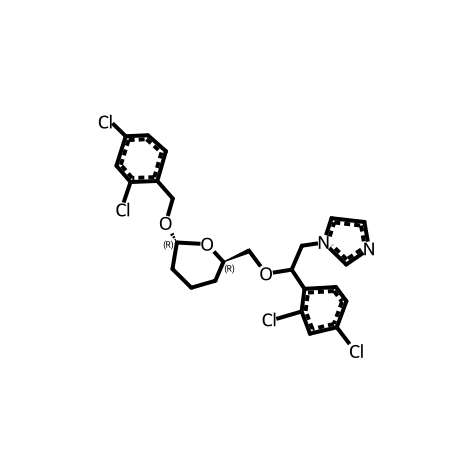 Clc1ccc(CO[C@H]2CCC[C@H](COC(Cn3ccnc3)c3ccc(Cl)cc3Cl)O2)c(Cl)c1